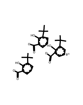 CC(C)(C)c1cccc(C(=O)[O-])c1O.CC(C)(C)c1cccc(C(=O)[O-])c1O.CC(C)(C)c1cccc(C(=O)[O-])c1O.[B+3]